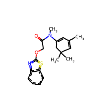 CC1=CC(C)(C)CC(N(C)C(=O)COc2nc3ccccc3s2)=C1